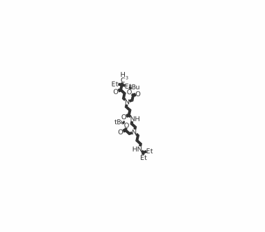 CCC(CC)NCCCN(CCNC(=O)CCN(CCC(=O)C(C)(CC)CC)CC(=O)OC(C)(C)C)CC(=O)OC(C)(C)C